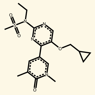 CCN(c1ncc(OCC2CC2)c(-c2cc(C)c(=O)n(C)c2)n1)S(C)(=O)=O